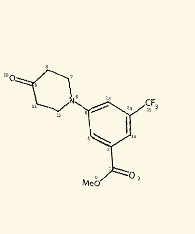 COC(=O)c1cc(N2CCC(=O)CC2)cc(C(F)(F)F)c1